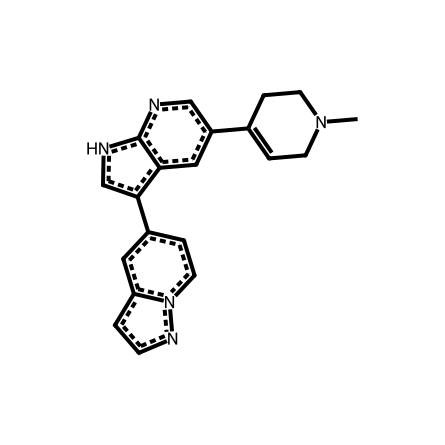 CN1CC=C(c2cnc3[nH]cc(-c4ccn5nccc5c4)c3c2)CC1